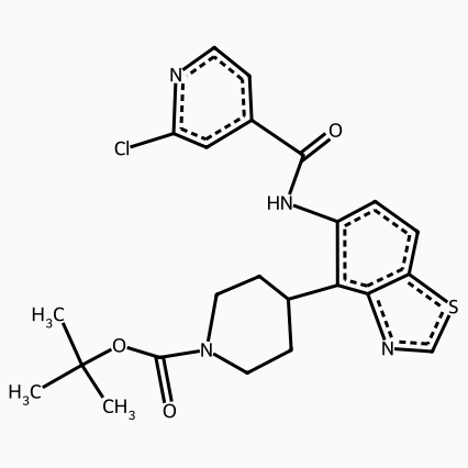 CC(C)(C)OC(=O)N1CCC(c2c(NC(=O)c3ccnc(Cl)c3)ccc3scnc23)CC1